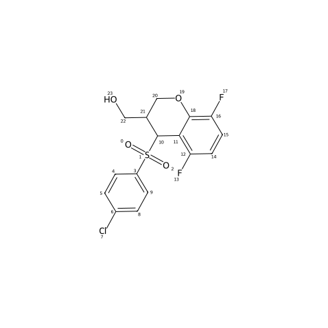 O=S(=O)(c1ccc(Cl)cc1)C1c2c(F)ccc(F)c2OCC1CO